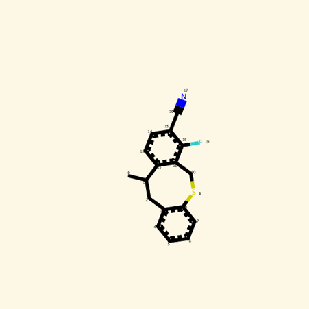 CC1Cc2ccccc2SCc2c1ccc(C#N)c2F